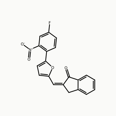 O=C1C(=Cc2ccc(-c3ccc(F)cc3[N+](=O)[O-])o2)Cc2ccccc21